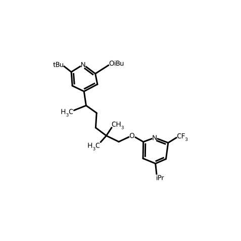 CC(C)COc1cc(C(C)CCC(C)(C)COc2cc(C(C)C)cc(C(F)(F)F)n2)cc(C(C)(C)C)n1